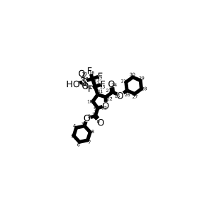 O=C(OC1CCCCC1)C1CC(C(F)(F)C(F)(F)S(=O)(=O)O)C(C(=O)OC2CCCCC2)O1